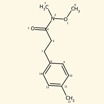 CON(C)C(=O)CCc1ccc(C)cc1